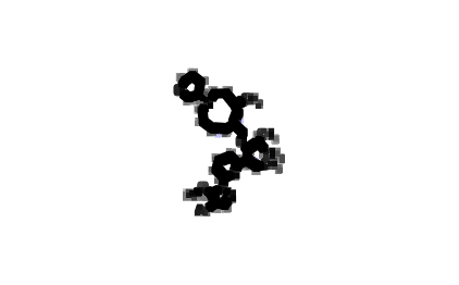 C=C1/C=C(COC(=C(C)C)/C(=C\C)c2cccc(-n3ncc(C(C)=O)c3OC(C)C)n2)\C=C/CCN([C@H]2CCCOC2)CC1